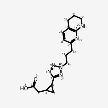 O=C(O)CC1CC1c1nnn(CCCc2ccc3c(n2)NCCC3)n1